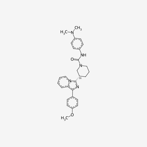 COc1ccc(-c2nc([C@H]3CCCN(C(=O)Nc4ccc(N(C)C)cc4)C3)n3ccccc23)cc1